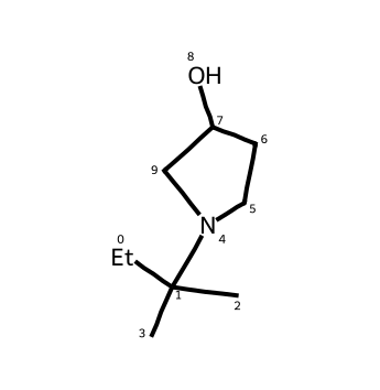 CCC(C)(C)N1CCC(O)C1